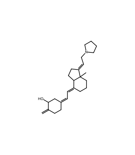 C=C1CC/C(=C/C=C2\CCCC3(C)/C(=C/CN4CCCC4)CCC23)CC1O